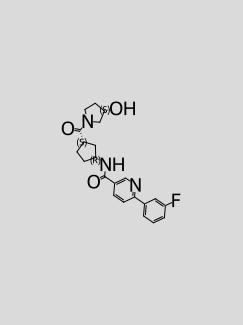 O=C(N[C@@H]1CC[C@H](C(=O)N2CC[C@H](O)C2)C1)c1ccc(-c2cccc(F)c2)nc1